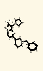 Cc1nn2ccc(C3CCCN(Cc4ccccc4)C3)nc2c1N1CCCC1